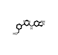 OCc1cccc(-c2cc(Nc3ccc4[nH]ncc4c3)ncn2)c1